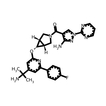 CC(C)(N)c1cc(O[C@@H]2[C@@H]3CN(C(=O)c4cn(-c5ncccn5)nc4N)C[C@@H]32)nc(-c2ccc(F)cc2)c1